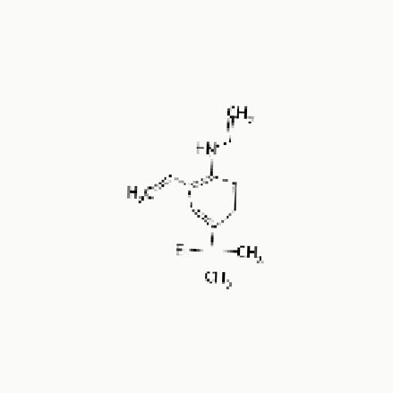 C=CNc1ccc(C(C)(C)CC)cc1C=C